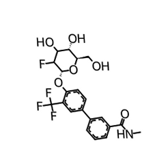 CNC(=O)c1cccc(-c2ccc(O[C@H]3O[C@H](CO)[C@@H](O)C(O)C3F)c(C(F)(F)F)c2)c1